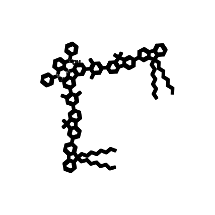 CCCCCCCCC1(CCCCCCCC)c2ccccc2-c2ccc(-c3ccc4c(c3)C(C)(C)c3cc(-c5cc(C)c(-c6ccc7c(c6)c6cc(-c8c(C)cc(-c9ccc%10c(c9)C(C)(C)c9cc(-c%11ccc%12c(c%11)C(CCCCCCCC)(CCCCCCCC)c%11ccccc%11-%12)ccc9-%10)cc8C)ccc6n7-c6c(B(O)c7ccccc7)cccc6B(O)c6ccccc6)c(C)c5)ccc3-4)cc21